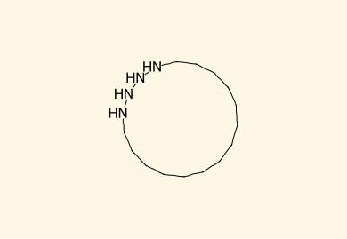 C1CCCCCCCNNNNCCCCCC1